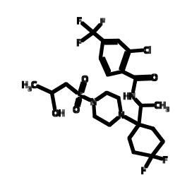 CC(O)CS(=O)(=O)N1CCN(C2(C(C)NC(=O)c3ccc(C(F)(F)F)cc3Cl)CCC(F)(F)CC2)CC1